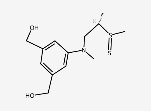 C[C@@H](CN(C)c1cc(CO)cc(CO)c1)S(C)=S